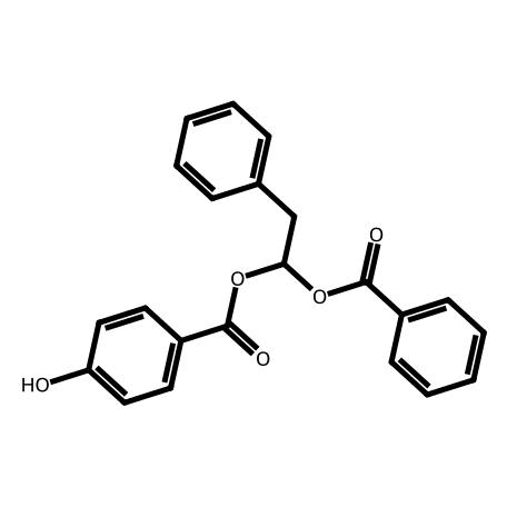 O=C(OC(Cc1ccccc1)OC(=O)c1ccc(O)cc1)c1ccccc1